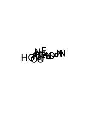 O=C(O)c1ccc2nc(Cc3cc(F)c(-c4cccc(OCc5ccc(-n6ccnc6)cc5)n4)cc3F)n(C[C@@H]3CCO3)c2n1